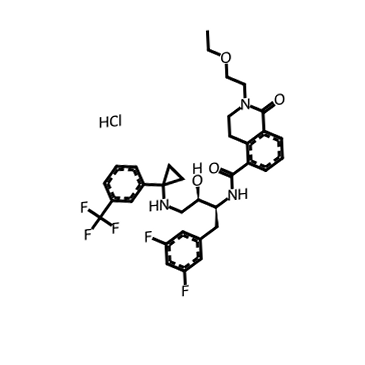 CCOCCN1CCc2c(C(=O)N[C@@H](Cc3cc(F)cc(F)c3)[C@H](O)CNC3(c4cccc(C(F)(F)F)c4)CC3)cccc2C1=O.Cl